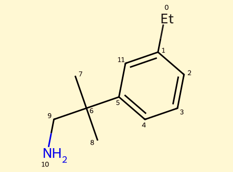 CCc1cccc(C(C)(C)CN)c1